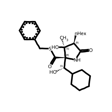 CCCCCC[C@H]1C(=O)N[C@](C(=O)SCc2ccccc2)([C@@H](O)C2CCCCC2)[C@@]1(C)O